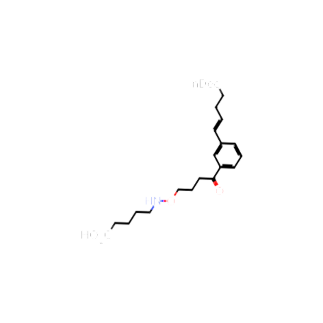 CCCCCCCCCCCCC=Cc1cccc(C(=O)CCCONCCCCC(=O)O)c1